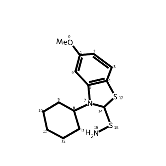 COc1ccc2c(c1)N(C1CCCCC1)C(SN)S2